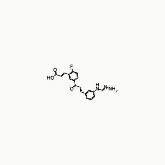 NN=CNc1cccc(C=CC(=O)c2ccc(F)c(C=CC(=O)O)c2)c1